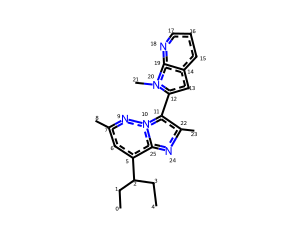 CCC(CC)c1cc(C)nn2c(-c3cc4cccnc4n3C)c(C)nc12